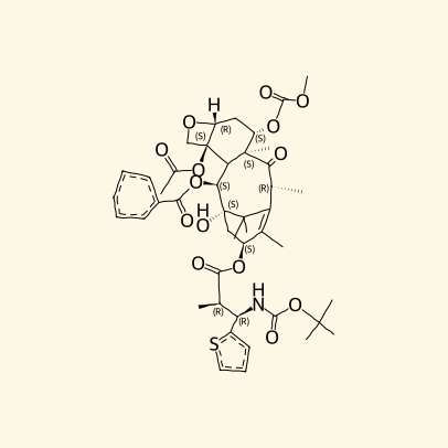 COC(=O)O[C@H]1C[C@H]2OC[C@@]2(OC(C)=O)C2[C@H](OC(=O)c3ccccc3)[C@]3(O)C[C@H](OC(=O)[C@H](C)[C@@H](NC(=O)OC(C)(C)C)c4cccs4)C(C)=C([C@@H](C)C(=O)[C@@]21C)C3(C)C